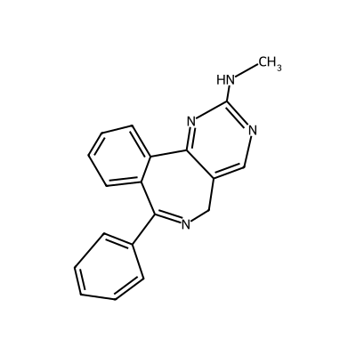 CNc1ncc2c(n1)-c1ccccc1C(c1ccccc1)=NC2